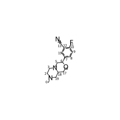 CN1CCN2C[C@@H](c3ccc(F)c(C#N)c3)OCC2C1